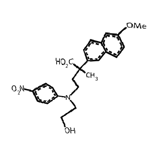 COc1ccc2cc(C(C)(CCN(CCO)c3ccc([N+](=O)[O-])cc3)C(=O)O)ccc2c1